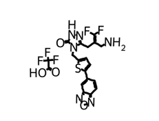 NCC(Cc1n[nH]c(=O)n1Cc1ccc(-c2ccc3nonc3c2)s1)=C(F)F.O=C(O)C(F)(F)F